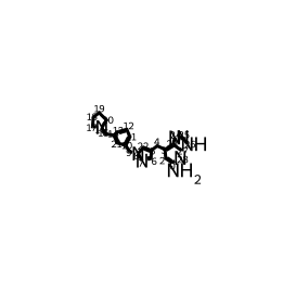 Nc1cc(Cc2cnn(Cc3cccc(CN4CCCC4)c3)c2)c2nn[nH]c2n1